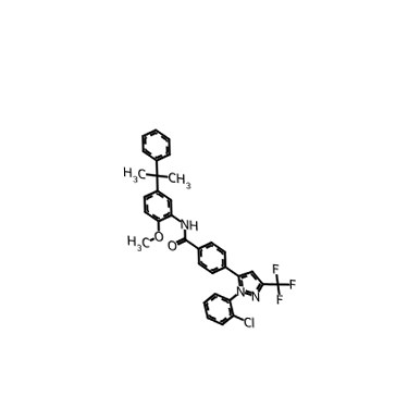 COc1ccc(C(C)(C)c2ccccc2)cc1NC(=O)c1ccc(-c2cc(C(F)(F)F)nn2-c2ccccc2Cl)cc1